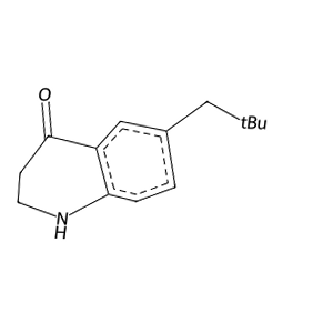 CC(C)(C)Cc1ccc2c(c1)C(=O)CCN2